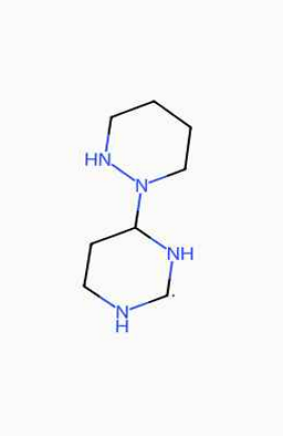 [CH]1NCCC(N2CCCCN2)N1